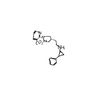 O=C(O)c1cccnc1N1CCC(CCNC2CC2c2ccccc2)CC1